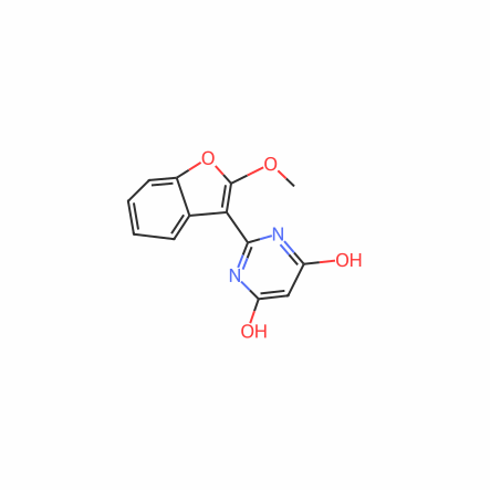 COc1oc2ccccc2c1-c1nc(O)cc(O)n1